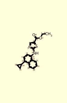 CCOC(=O)c1cnc(Nc2ccc(C3CC3)c3ccccc23)s1